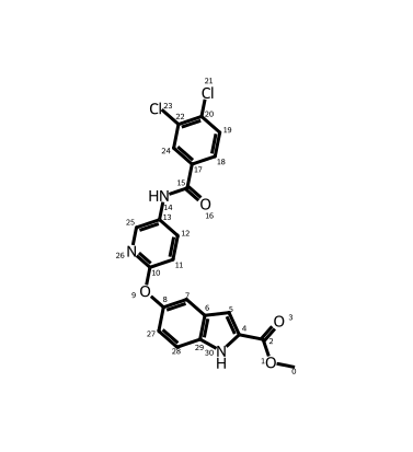 COC(=O)c1cc2cc(Oc3ccc(NC(=O)c4ccc(Cl)c(Cl)c4)cn3)ccc2[nH]1